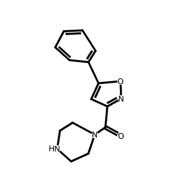 O=C(c1cc(-c2ccccc2)on1)N1CCNCC1